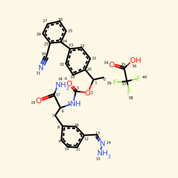 CC(OC(=O)NC(Cc1cccc(/C=N\N)c1)C(N)=O)c1ccc(-c2ccccc2C#N)cc1.O=C(O)C(F)(F)F